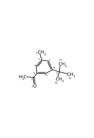 CC(=O)c1cc(C)cc(C(C)(C)C)c1